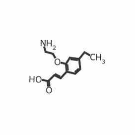 CCc1ccc(C=CC(=O)O)c(OCCN)c1